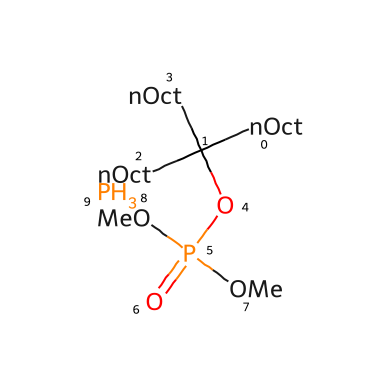 CCCCCCCCC(CCCCCCCC)(CCCCCCCC)OP(=O)(OC)OC.P